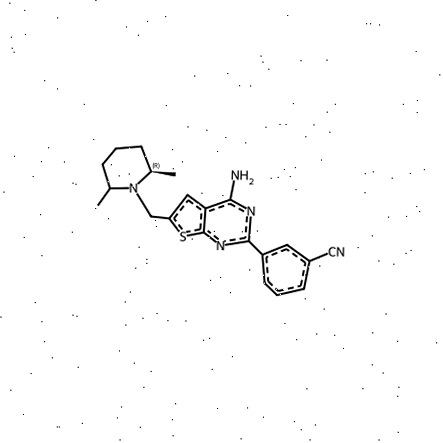 CC1CCC[C@@H](C)N1Cc1cc2c(N)nc(-c3cccc(C#N)c3)nc2s1